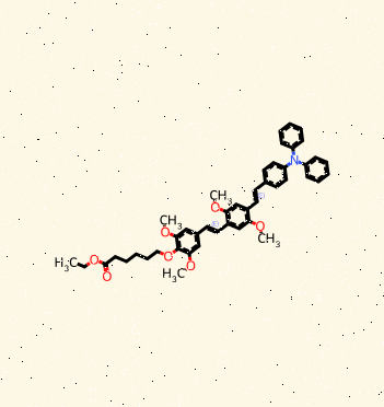 CCOC(=O)CCCCCOc1c(OC)cc(/C=C/c2cc(OC)c(/C=C/c3ccc(N(c4ccccc4)c4ccccc4)cc3)cc2OC)cc1OC